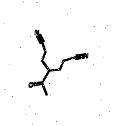 CC(=O)C(CCC#N)CCC#N